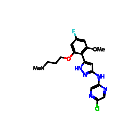 CNCCCOc1cc(F)cc(OC)c1-c1cc(Nc2cnc(Cl)cn2)n[nH]1